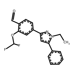 CCn1nc(-c2ccc(C=O)c(OC(F)F)c2)cc1-c1ccccc1